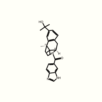 CC(C)(O)c1ccc2c(c1)[C@]1(C)CCN(C(=O)c3ccc4nc[nH]c4c3)[C@H](C2)C1(C)C